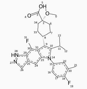 CO[C@]1(C(=O)O)CC[C@H](c2c(C(C)C)n(-c3ccc(F)c(C)c3)c3cc4cn[nH]c4c(F)c32)CC1